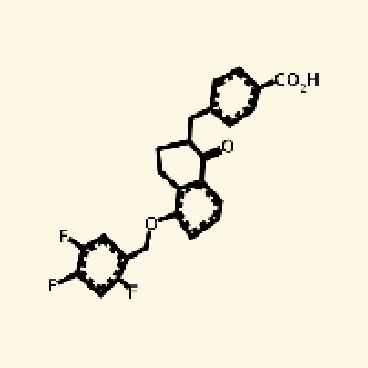 O=C(O)c1ccc(CC2CCc3c(OCc4cc(F)c(F)cc4F)cccc3C2=O)cc1